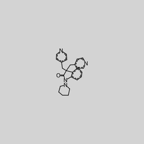 O=C1N(N2CCCCC2)c2ccccc2C1(Cc1ccncc1)Cc1ccncc1